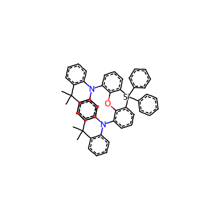 CC1(C)c2ccccc2N(c2cccc3c2Oc2c(N4c5ccccc5C(C)(C)c5ccccc54)cccc2[Si]3(c2ccccc2)c2ccccc2)c2ccccc21